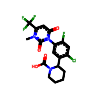 Cn1c(C(F)(F)F)cc(=O)n(-c2cc(C3CCCCN3C(=O)O)c(Cl)cc2F)c1=O